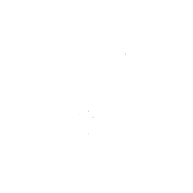 CC(=O)Oc1ccc(OCC2(C#N)C=CC=CC2C(=O)O)cc1